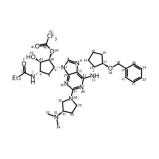 CCC(=O)N[C@H]1C[C@@H](n2cnc3c(N[C@@H]4CCC[C@H]4OCc4ccccc4)nc(N4CC[C@@H](N(C)C)C4)nc32)[C@H](OC(=O)C(F)(F)F)[C@@H]1O